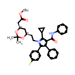 CC(C)(C)OC(=O)C[C@H]1C[C@@H](CCn2c(-c3ccc(F)cc3)c(-c3ccccc3)c(C(=O)Nc3ccccc3)c2C2CC2)OC(C)(C)O1